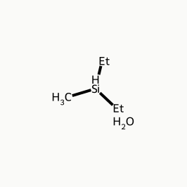 CC[SiH](C)CC.O